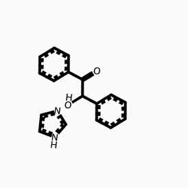 O=C(c1ccccc1)C(O)c1ccccc1.c1c[nH]cn1